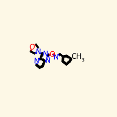 Cc1cccc(/C=N/Oc2nc(N3CCOCC3)c3ncccc3n2)c1